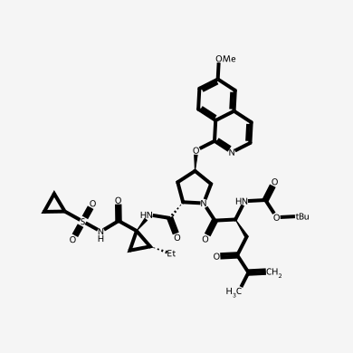 C=C(C)C(=O)C[C@H](NC(=O)OC(C)(C)C)C(=O)N1C[C@H](Oc2nccc3cc(OC)ccc23)C[C@H]1C(=O)N[C@]1(C(=O)NS(=O)(=O)C2CC2)C[C@H]1CC